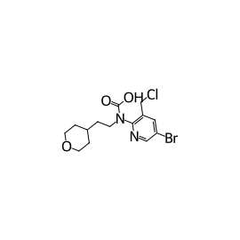 O=C(O)N(CCC1CCOCC1)c1ncc(Br)cc1CCl